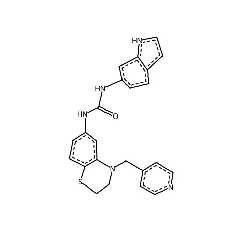 O=C(Nc1ccc2c(c1)N(Cc1ccncc1)CCS2)Nc1ccc2cc[nH]c2c1